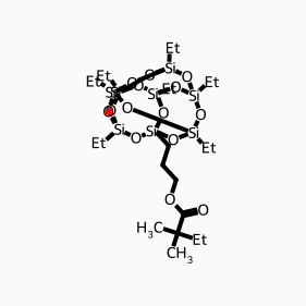 CCC(C)(C)C(=O)OCCC[Si]12O[Si]3(CC)O[Si]4(CC)O[Si]5(CC)O[Si](CC)(O3)O[Si](CC)(O[Si](CC)(O5)O[Si](CC)(O4)O1)O2